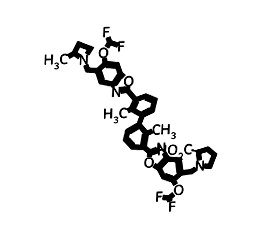 Cc1c(-c2nc3cc(CN4CCC4C)c(OC(F)F)cc3o2)cccc1-c1cccc(-c2nc3cc(CN4CCC[C@H]4C(=O)O)c(OC(F)F)cc3o2)c1C